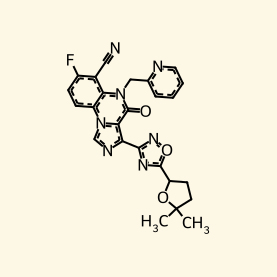 CC1(C)CCC(c2nc(-c3ncn4c3c(=O)n(Cc3ccccn3)c3c(C#N)c(F)ccc34)no2)O1